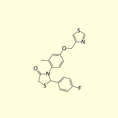 Cc1cc(OCc2cscn2)ccc1N1C(=O)CSC1c1ccc(F)cc1